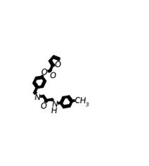 Cc1ccc(NCC(=O)C/N=C\c2ccc(OC(=O)c3ccco3)cc2)cc1